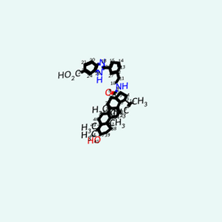 C=C(C)[C@@H]1CC[C@]2(C(=O)NCCc3cccc(-c4nc5ccc(C(=O)O)cc5[nH]4)c3)CC[C@]3(C)C(CCC4[C@@]5(C)CC[C@H](O)C(C)(C)C5CC[C@]43C)C12